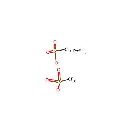 O=S(=O)([O-])C(F)(F)F.O=S(=O)([O-])C(F)(F)F.[PbH2+2]